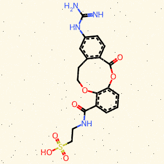 N=C(N)Nc1ccc2c(c1)CCOc1c(cccc1C(=O)NCCS(=O)(=O)O)OC2=O